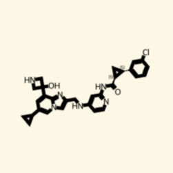 O=C(Nc1cc(NCc2cn3cc(C4CC4)cc(C4(O)CNC4)c3n2)ccn1)[C@H]1C[C@@H]1c1cccc(Cl)c1